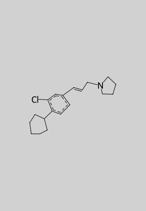 Clc1cc(C=CCN2CCCC2)ccc1C1CCCCC1